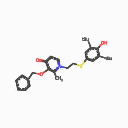 Cc1c(OCc2ccccc2)c(=O)ccn1CCSc1cc(C(C)(C)C)c(O)c(C(C)(C)C)c1